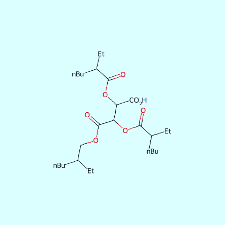 CCCCC(CC)COC(=O)C(OC(=O)C(CC)CCCC)C(OC(=O)C(CC)CCCC)C(=O)O